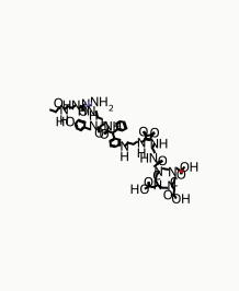 CCC(=O)NCCNC(=O)/N=C(/N)NCCC[C@@H](NC(=O)C(c1ccccc1)c1cccc(NCCCNc2c(NCCNC(=O)CN3CCN(CC(=O)O)CCN(CC(=O)O)CCN(CC(=O)O)CC3)c(=O)c2=O)c1)C(=O)NCc1ccc(O)cc1